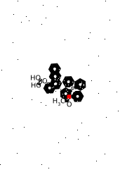 CC(=O)Oc1ccccc1[PH](c1ccccc1)(c1ccccc1)c1ccccc1.OB(O)Oc1cccc2ccc3cc4ccccc4cc3c12